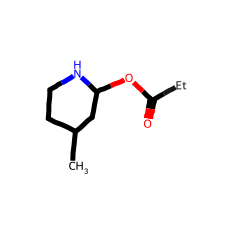 CCC(=O)OC1CC(C)CCN1